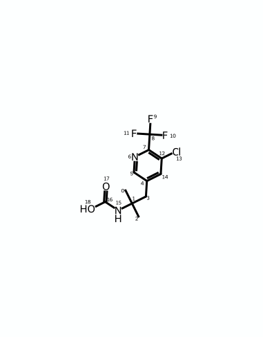 CC(C)(Cc1cnc(C(F)(F)F)c(Cl)c1)NC(=O)O